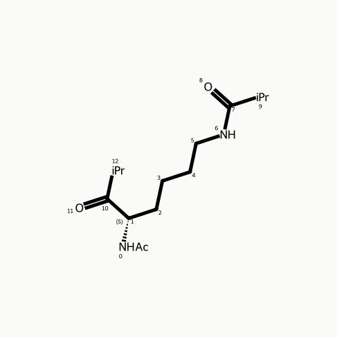 CC(=O)N[C@@H](CCCCNC(=O)C(C)C)C(=O)C(C)C